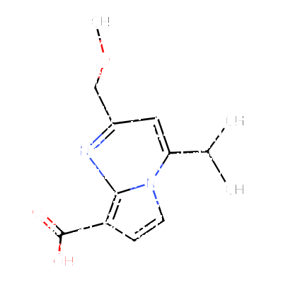 COCc1cc(C(C)C)n2ccc(C(=O)O)c2n1